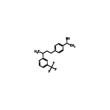 CC(S)c1ccc(CCC(C)c2cccc(C(F)(F)F)c2)cc1